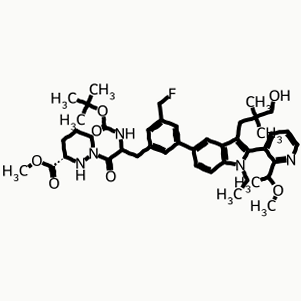 CCn1c(-c2cccnc2C(C)OC)c(CC(C)(C)CO)c2cc(-c3cc(CF)cc(CC(NC(=O)OC(C)(C)C)C(=O)N4CCC[C@@H](C(=O)OC)N4)c3)ccc21